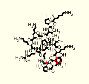 CC(C)[C@H](NC(=O)[C@H](CCCCN)NC(=O)[C@@H](NC(=O)[C@@H]1CCCN1C(=O)[C@H](CCCNC(=N)N)NC(=O)[C@H](CCCNC(=N)N)NC(=O)[C@H](CCCCN)NC(=O)[C@H](CCCCN)NC(=O)CNC(=O)[C@@H](NC(=O)[C@@H]1CCCN1C(=O)[C@@H](N)CCCCN)C(C)C)C(C)C)C(=O)N[C@@H](Cc1ccc(O)cc1)C(=O)N1CCC[C@H]1C(=O)O